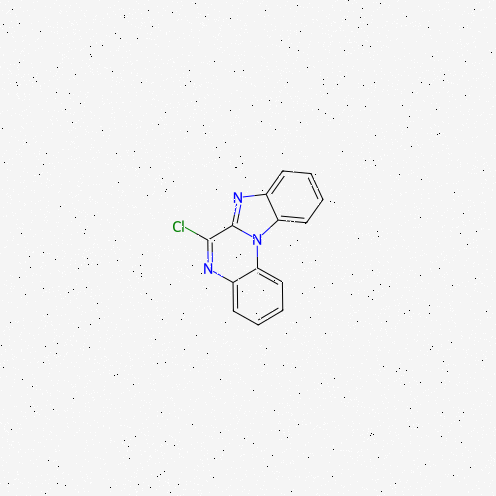 Clc1nc2ccccc2n2c1nc1ccccc12